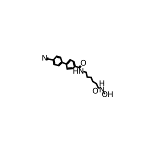 N#Cc1ccc(-c2ccc(C(=O)NCCCCCC(=O)NO)cc2)cc1